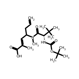 C=CCC(/C=C(\C)C(=O)O)N(C)C(=O)[C@@H](NC(=O)OC(C)(C)C)C(C)(C)C